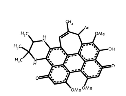 COc1c(O)c2c(=O)cc(OC)c3c4c(OC)cc(=O)c5c6c(c7c(c(c1C(C(C)=O)C(C)=C7)c23)c54)NC(C)C(C)(C)N6